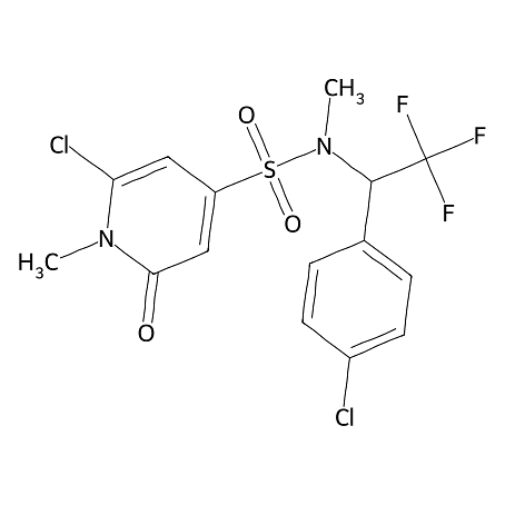 CN(C(c1ccc(Cl)cc1)C(F)(F)F)S(=O)(=O)c1cc(Cl)n(C)c(=O)c1